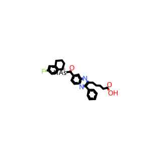 O=C(O)CCCCc1nc2cc(C(=O)[AsH][C@@H]3CCCc4cc(F)ccc43)ccc2nc1-c1ccccc1